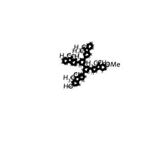 COc1ccc2c(c1)C(C)(C)c1cc(-c3cc(-c4cc(-c5ccc6c(c5)C(C)(C)c5ccccc5-6)cc(-c5ccc6c(c5)C(C)(C)c5ccccc5-6)c4)cc(-c4ccc5c(c4)C(C)(C)c4cc(O)ccc4-5)c3)ccc1-2